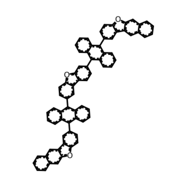 c1ccc2cc3c(cc2c1)oc1ccc(-c2c4ccccc4c(-c4ccc5c(c4)oc4ccc(-c6c7ccccc7c(-c7ccc8oc9cc%10ccccc%10cc9c8c7)c7ccccc67)cc45)c4ccccc24)cc13